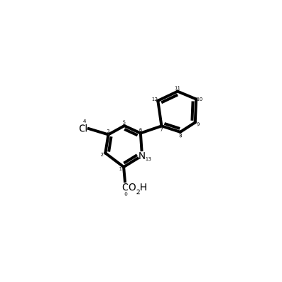 O=C(O)c1cc(Cl)cc(-c2ccccc2)n1